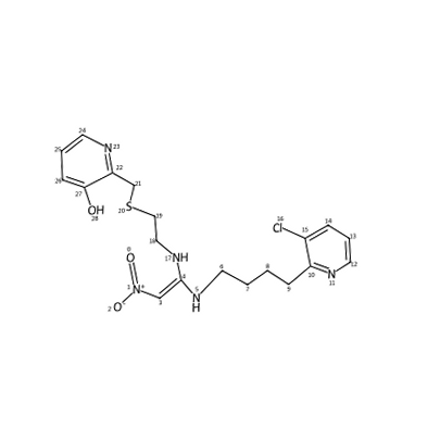 O=[N+]([O-])C=C(NCCCCc1ncccc1Cl)NCCSCc1ncccc1O